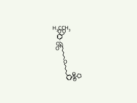 CC1(C)OCc2cc([C@@H]3CN(CCCCCCOCCCCCc4cccc(S(=O)(=O)C5CCCC5)c4)C(=O)O3)ccc2O1